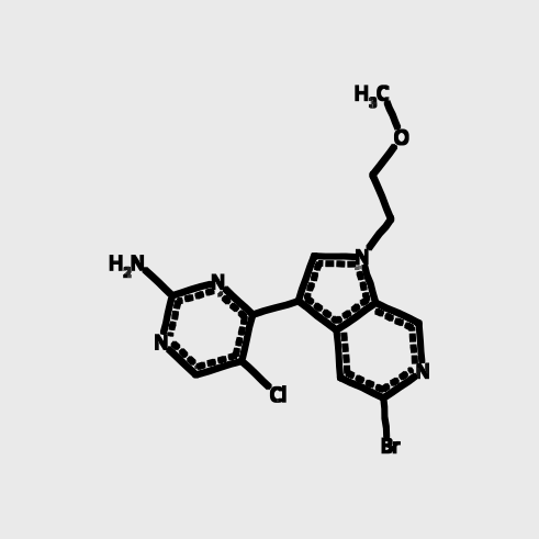 COCCn1cc(-c2nc(N)ncc2Cl)c2cc(Br)ncc21